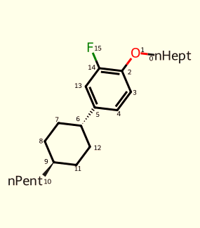 CCCCCCCOc1ccc([C@H]2CC[C@H](CCCCC)CC2)cc1F